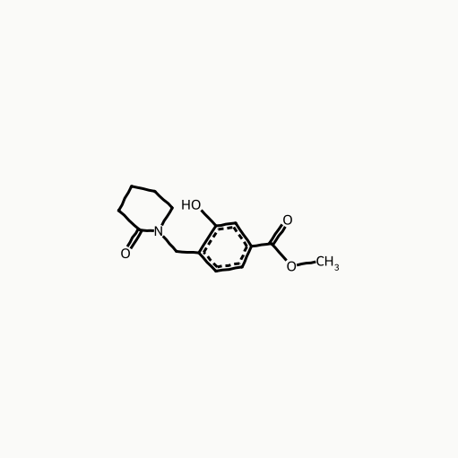 COC(=O)c1ccc(CN2CCCCC2=O)c(O)c1